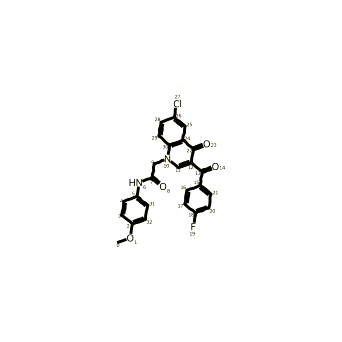 COc1ccc(NC(=O)Cn2cc(C(=O)c3ccc(F)cc3)c(=O)c3cc(Cl)ccc32)cc1